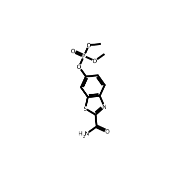 COP(=O)(OC)Oc1ccc2nc(C(N)=O)sc2c1